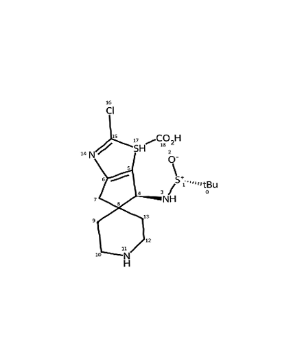 CC(C)(C)[S@@+]([O-])N[C@@H]1C2=C(CC13CCNCC3)N=C(Cl)[SH]2C(=O)O